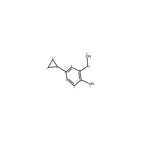 CCCc1ccc(C2CC2)cc1[CH]O